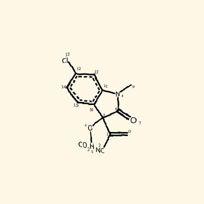 C=C(C#N)C1(OC(=O)O)C(=O)N(C)c2cc(Cl)ccc21